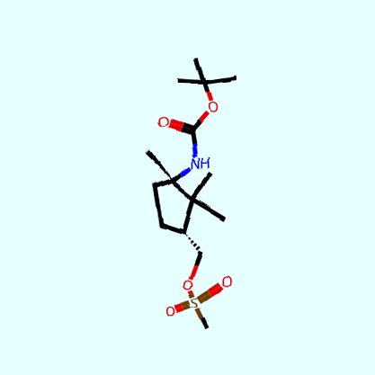 CC(C)(C)OC(=O)N[C@@]1(C)CC[C@@H](COS(C)(=O)=O)C1(C)C